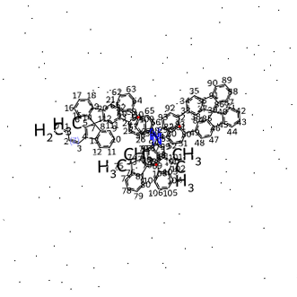 C=C/C=C\C1=C(C)C2(c3ccccc31)c1ccccc1-c1ccc(-c3ccc(N(c4ccc(-c5ccc6c(c5)C5(c7ccccc7-c7ccc(-c8ccc(N(c9ccc(-c%10ccccc%10)cc9)c9ccc%10c(c9)C(C)(C)c9ccccc9-%10)cc8)cc75)c5ccccc5-6)cc4)c4ccc5c(c4)C(C)(C)c4ccccc4-5)cc3)cc12